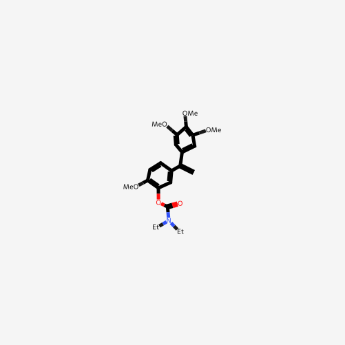 C=C(c1ccc(OC)c(OC(=O)N(CC)CC)c1)c1cc(OC)c(OC)c(OC)c1